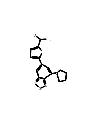 OC(c1ccc(-c2cc(N3CCCC3)c3nonc3c2)s1)C(F)(F)F